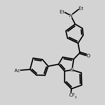 CCN(CC)c1ccc(C(=O)c2cc(-c3ccc(C(C)=O)cc3)c3cc(C(F)(F)F)ccn23)cc1